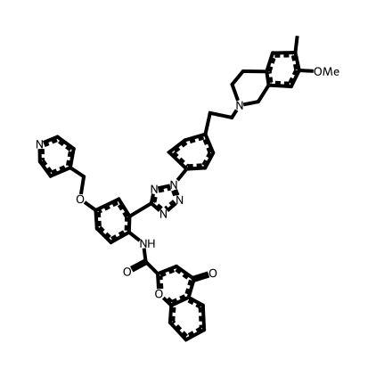 COc1cc2c(cc1C)CCN(CCc1ccc(-n3nnc(-c4cc(OCc5ccncc5)ccc4NC(=O)c4cc(=O)c5ccccc5o4)n3)cc1)C2